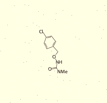 CNC(=O)NOCc1ccc(Cl)cc1